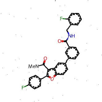 CNC(=O)c1c(-c2ccc(F)cc2)oc2ccc(-c3cccc(C(=O)NCc4ccccc4F)c3)cc12